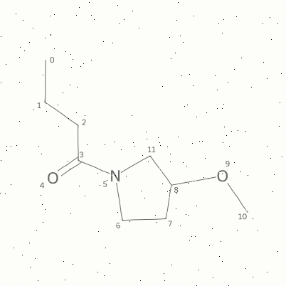 CCCC(=O)N1CCC(OC)C1